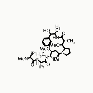 CC[C@H](C)[C@@H]([C@@H](CC(=O)N1CCCC1C(OC)[C@@H](C)C(=O)N[C@H](C)C(O)c1ccccc1)OC)N(C)C(=O)[C@@H](NC(=O)C(NC)C(C)C)C(C)C